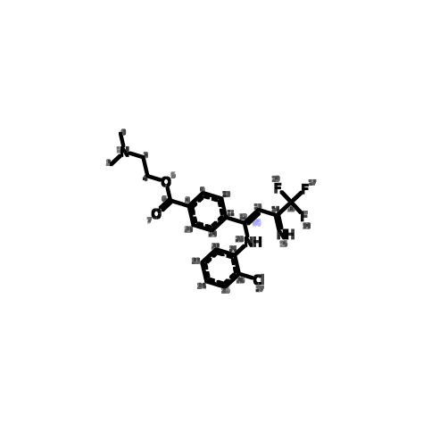 CN(C)CCOC(=O)c1ccc(/C(=C/C(=N)C(F)(F)F)Nc2ccccc2Cl)cc1